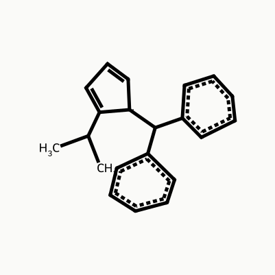 CC(C)C1=CC=C[C]1C(c1ccccc1)c1ccccc1